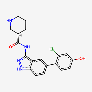 O=C(Nc1n[nH]c2ccc(-c3ccc(O)cc3Cl)cc12)[C@@H]1CCCNC1